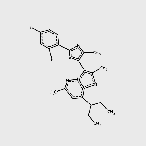 CCC(CC)c1cc(C)nn2c(-c3sc(-c4ccc(F)cc4F)nc3C)c(C)nc12